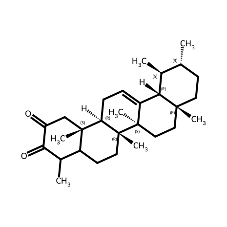 CC1C(=O)C(=O)C[C@@]2(C)C1CC[C@]1(C)[C@@H]2CC=C2[C@@H]3[C@@H](C)[C@H](C)CC[C@]3(C)CC[C@]21C